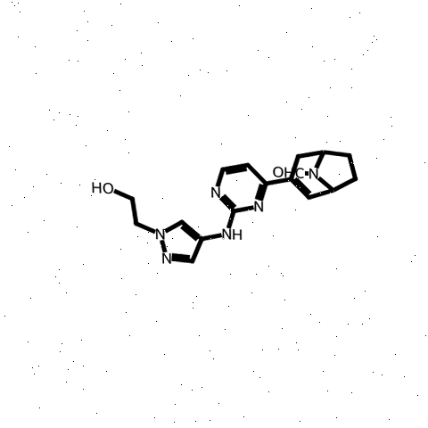 O=CN1C2C=C(c3ccnc(Nc4cnn(CCO)c4)n3)CC1CC2